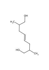 CC(CO)CC=CCC(C)CO